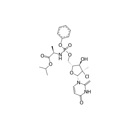 C=C1NC(=O)C=CN1[C@@H]1O[C@H](COP(=O)(N[C@H](C)C(=O)OC(C)C)Oc2ccccc2)[C@@H](O)[C@@]1(C)Cl